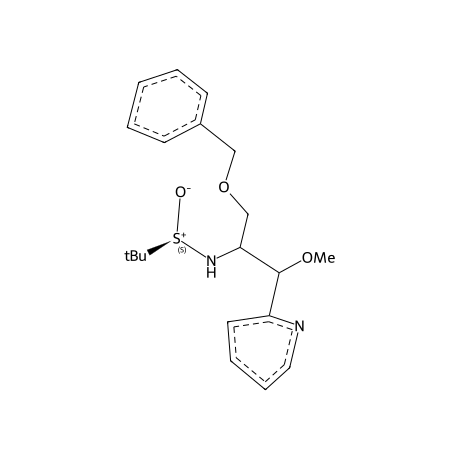 COC(c1ccccn1)C(COCc1ccccc1)N[S@+]([O-])C(C)(C)C